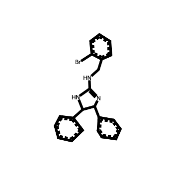 Brc1ccccc1CNC1=NC(c2ccccc2)C(c2ccccc2)N1